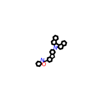 c1ccc2c(c1)ccc1c2c2c3ccccc3ccc2n1-c1ccc2c(c1)Cc1ccc(-c3nc4ccccc4o3)cc1-2